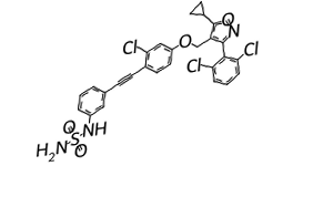 NS(=O)(=O)Nc1cccc(C#Cc2ccc(OCc3c(-c4c(Cl)cccc4Cl)noc3C3CC3)cc2Cl)c1